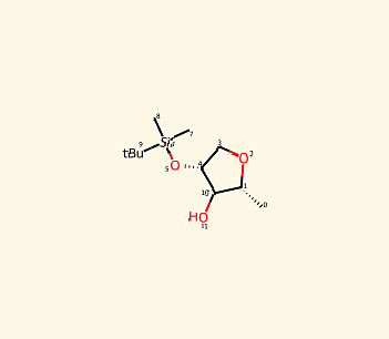 C[C@H]1OC[C@@H](O[Si](C)(C)C(C)(C)C)C1O